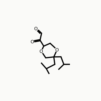 CC(C)CC1(CC(C)C)COC(C(=O)C=O)CO1